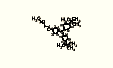 C=COCCOc1ccc([S+](c2ccc(C(C)(C)C)cc2)c2ccc(C(C)(C)C)cc2)cc1